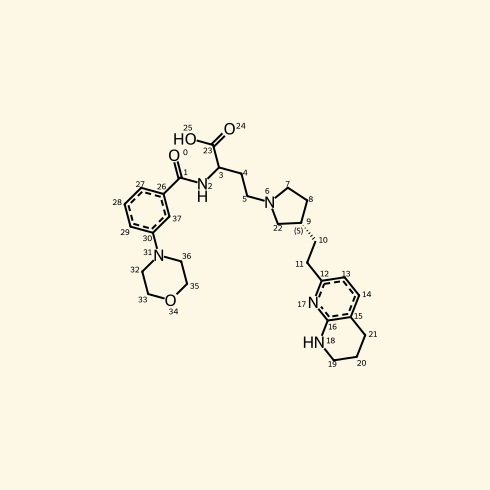 O=C(NC(CCN1CC[C@H](CCc2ccc3c(n2)NCCC3)C1)C(=O)O)c1cccc(N2CCOCC2)c1